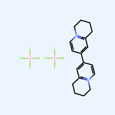 F[B-](F)(F)F.F[B-](F)(F)F.c1c[n+]2c(cc1-c1cc[n+]3c(c1)CCCC3)CCCC2